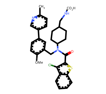 COc1ccc(-c2ccc(C)nc2)cc1CN(C(=O)c1sc2ccccc2c1Cl)C1CCC(CNC(=O)O)CC1